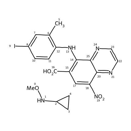 CONC1CC1.Cc1cc(I)ccc1Nc1c(C(=O)O)cc([N+](=O)[O-])c2nccnc12